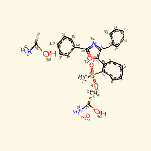 C.CS(=O)(=O)c1ccccc1-c1oc(-c2ccccc2)nc1-c1ccccc1.NC(O)=S.NC(O)=S.O